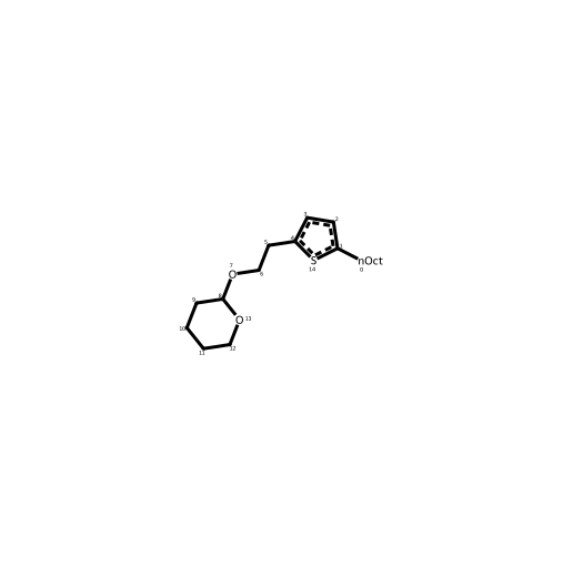 CCCCCCCCc1ccc(CCOC2CCCCO2)s1